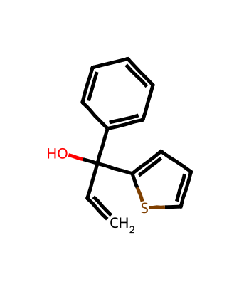 C=CC(O)(c1ccccc1)c1cccs1